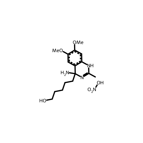 COc1cc2c(cc1OC)C(N)(CCCCCO)N=C(C)N2.O=[N+]([O-])O